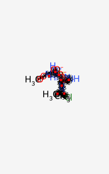 COCCOCCN1CC[C@@H](Nc2ccc([S+]([O-])NC(=O)c3ccc(N4CCN(CC5=C(c6ccc(Cl)cc6)CC(C)(C)CC5)CC4)cc3Oc3cccc4[nH]cnc34)cc2[N+](=O)[O-])C1